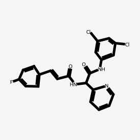 O=C(/C=C/c1ccc(F)cc1)NC(C(=O)Nc1cc(Cl)cc(Cl)c1)c1ccccn1